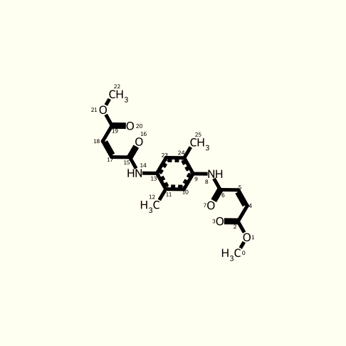 COC(=O)/C=C\C(=O)Nc1cc(C)c(NC(=O)/C=C\C(=O)OC)cc1C